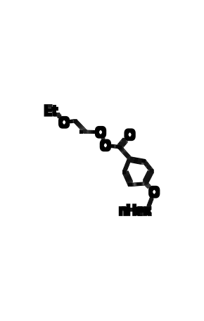 CCCCCCOc1ccc(C(=O)OO[CH]COCC)cc1